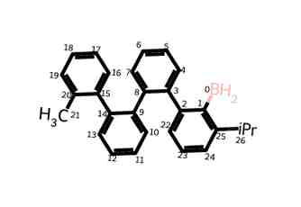 Bc1c(-c2ccccc2-c2ccccc2-c2ccccc2C)cccc1C(C)C